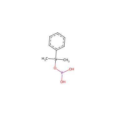 C[Si](C)(OP(O)O)c1ccccc1